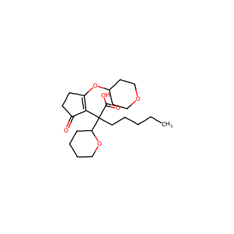 CCCCCC(C(=O)O)(C1=C(OC2CCOCC2)CCC1=O)C1CCCCO1